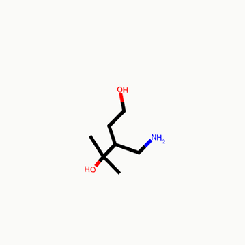 CC(C)(O)C(CN)CCO